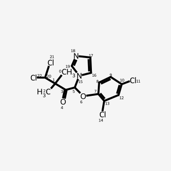 CC(C)(C(=O)C(Oc1ccc(Cl)cc1Cl)n1ccnc1)C(Cl)Cl